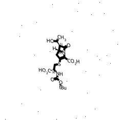 CC(O)[C@H]1C(=O)N2C(C(=O)O)=C(SC[C@H](NC(=O)OC(C)(C)C)C(=O)O)C[C@H]12